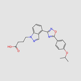 CC(C)Oc1ccc(-c2nc(-c3cccc4c3cnn4CCCC(=O)O)no2)cc1